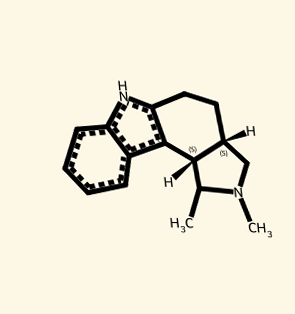 CC1[C@@H]2c3c([nH]c4ccccc34)CC[C@@H]2CN1C